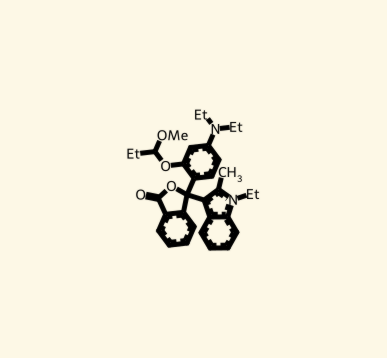 CCC(OC)Oc1cc(N(CC)CC)ccc1C1(c2c(C)n(CC)c3ccccc23)OC(=O)c2ccccc21